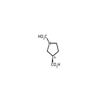 O=C(O)[C@@H]1CCN(C(=O)O)C1